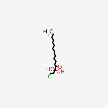 CCCCCCCCCCCCCC(=O)C(O)(O)CCCl